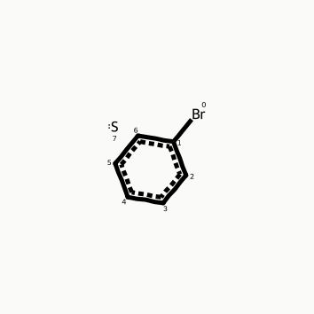 Brc1ccccc1.[S]